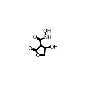 O=C(NO)C1C(=O)OCC1O